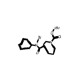 CC(C)(C)OC(=O)N1CCC=C(C(=O)N(Br)c2ccccc2)C1